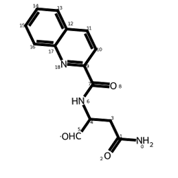 NC(=O)CC([C]=O)NC(=O)c1ccc2ccccc2n1